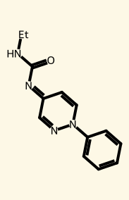 CCNC(=O)/N=c1\ccn(-c2ccccc2)nc1